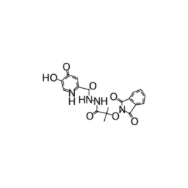 CC(C)(ON1C(=O)c2ccccc2C1=O)C(=O)NNC(=O)c1cc(=O)c(O)c[nH]1